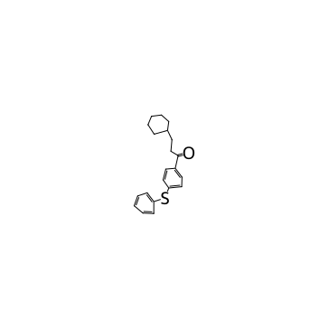 O=C(CCC1CCCCC1)c1ccc(Sc2ccccc2)cc1